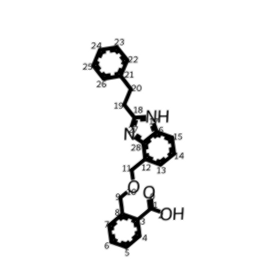 O=C(O)c1ccccc1COCc1cccc2[nH]c(CCc3ccccc3)nc12